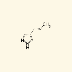 C/C=C/c1cn[nH]c1